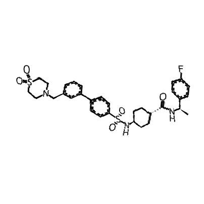 C[C@@H](NC(=O)[C@H]1CC[C@H](NS(=O)(=O)c2ccc(-c3cccc(CN4CCS(=O)(=O)CC4)c3)cc2)CC1)c1ccc(F)cc1